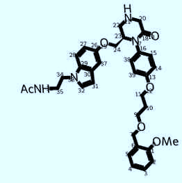 COc1ccccc1COCCCOc1ccc(N2C(=O)CNC[C@@H]2COc2ccc3c(ccn3CCNC(C)=O)c2)cc1